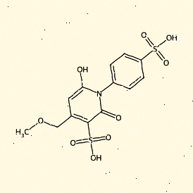 COCc1cc(O)n(-c2ccc(S(=O)(=O)O)cc2)c(=O)c1S(=O)(=O)O